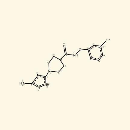 Nc1n[nH]c(N2CCC(C(=O)NCc3cccc(F)c3)CC2)n1